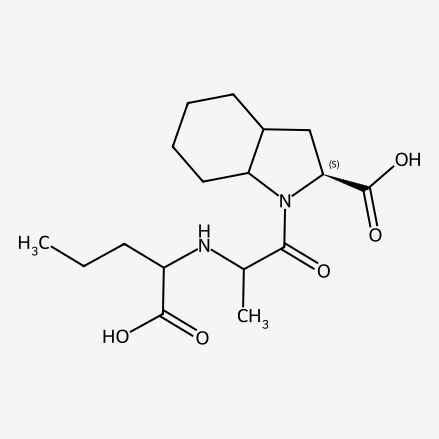 CCCC(NC(C)C(=O)N1C2CCCCC2C[C@H]1C(=O)O)C(=O)O